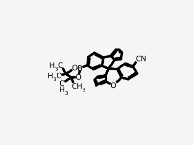 CC1(C)OB(c2ccc3c(c2)C2(c4ccccc4Oc4ccc(C#N)cc42)c2ccccc2-3)OC1(C)C